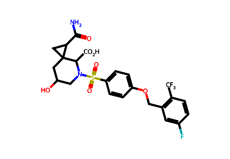 NC(=O)C1CC12CC(O)CN(S(=O)(=O)c1ccc(OCc3cc(F)ccc3C(F)(F)F)cc1)C2C(=O)O